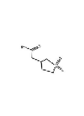 CC(C)C(=O)CC1CCS(=O)(=O)C1